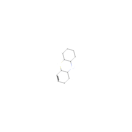 C1=CC2SC3CCCCC3NC2CC1